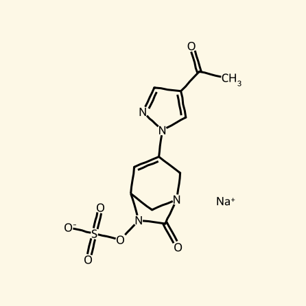 CC(=O)c1cnn(C2=CC3CN(C2)C(=O)N3OS(=O)(=O)[O-])c1.[Na+]